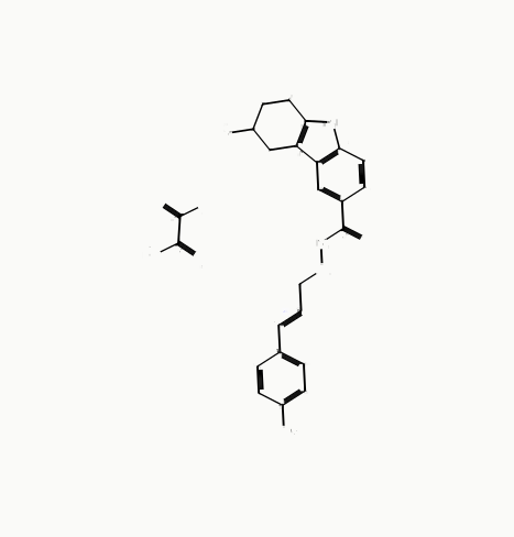 COc1ccc(/C=C/CONC(=O)c2ccc3[nH]c4c(c3c2)CC(N)CC4)cc1.O=C(O)C(=O)O